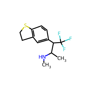 CNC(C)C(c1ccc2c(c1)CCS2)C(F)(F)F